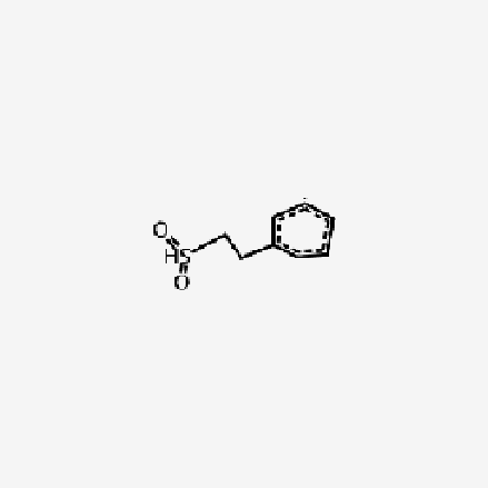 O=[SH](=O)CCc1c[c]ccc1